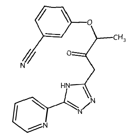 CC(Oc1cccc(C#N)c1)C(=O)Cc1nnc(-c2ccccn2)[nH]1